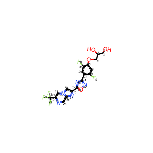 OCC(O)COc1cc(F)c(-c2noc(-c3cn4cc(C(F)(F)F)ncc4n3)n2)cc1F